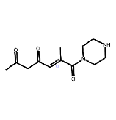 CC(=O)CC(=O)/C=C(\C)C(=O)N1CCNCC1